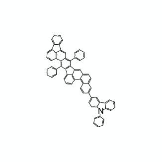 c1ccc(-c2c3cc4c5ccccc5c5cccc(c3c(-c3ccccc3)c3c6cccc7c8c(ccc9cc(-c%10ccc%11c(c%10)c%10ccccc%10n%11-c%10ccccc%10)ccc98)cc(c23)c67)c54)cc1